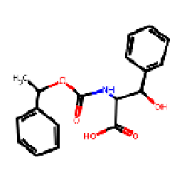 CC(OC(=O)NC(C(=O)O)C(O)c1ccccc1)c1ccccc1